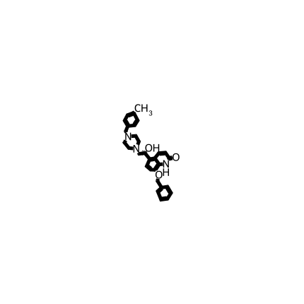 Cc1ccc(CN2CCN(C[C@H](O)c3ccc(OCc4ccccc4)c4[nH]c(=O)ccc34)CC2)cc1